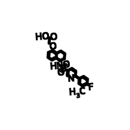 Cc1cc(-c2ccc(S(=O)(=O)NC3CCCc4c(OCC(=O)O)cccc43)cn2)ccc1F